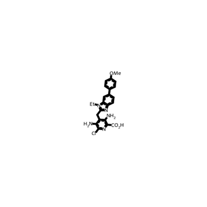 CCn1c(Cc2c(N)c(Cl)nc(C(=O)O)c2N)nc2ccc(-c3ccc(OC)cc3)cc21